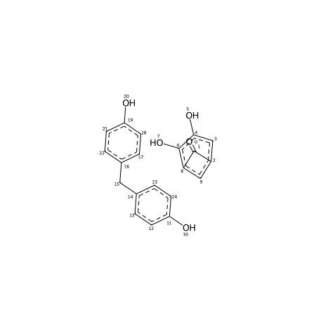 O=C1c2cc(O)c(O)c1c2.Oc1ccc(Cc2ccc(O)cc2)cc1